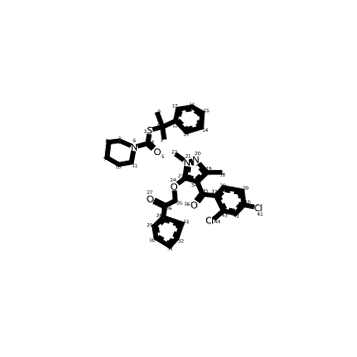 CC(C)(SC(=O)N1CCCCC1)c1ccccc1.Cc1nn(C)c(OCC(=O)c2ccccc2)c1C(=O)c1ccc(Cl)cc1Cl